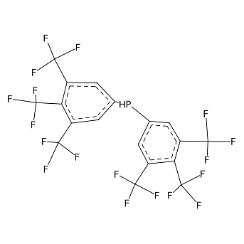 FC(F)(F)c1cc(Pc2cc(C(F)(F)F)c(C(F)(F)F)c(C(F)(F)F)c2)cc(C(F)(F)F)c1C(F)(F)F